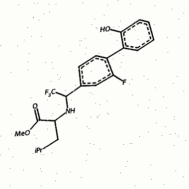 COC(=O)C(CC(C)C)NC(c1ccc(-c2ccccc2O)c(F)c1)C(F)(F)F